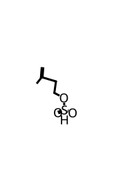 C=C(C)CCO[SH](=O)=O